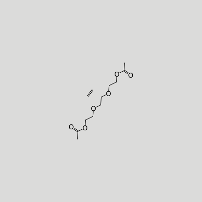 C=C.CC(=O)OCCOCCOCCOC(C)=O